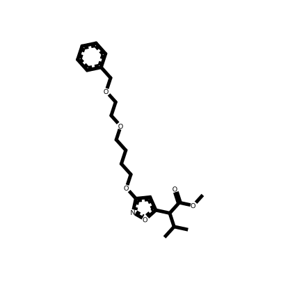 COC(=O)C(c1cc(OCCCCOCCOCc2ccccc2)no1)C(C)C